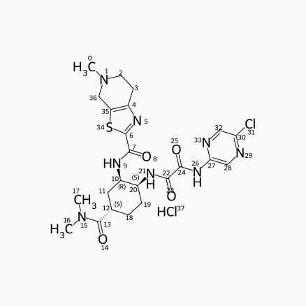 CN1CCc2nc(C(=O)N[C@@H]3C[C@@H](C(=O)N(C)C)CC[C@@H]3NC(=O)C(=O)Nc3cnc(Cl)cn3)sc2C1.Cl